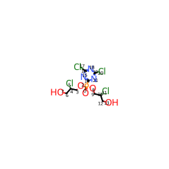 O=P(OCC(Cl)CO)(OCC(Cl)CO)c1nc(Cl)nc(Cl)n1